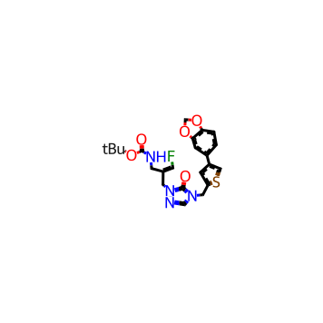 CC(C)(C)OC(=O)NCC(=CF)Cn1ncn(Cc2cc(-c3ccc4c(c3)OCO4)cs2)c1=O